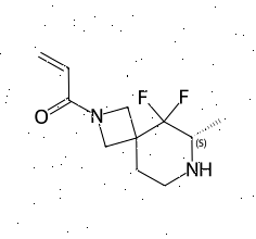 C=CC(=O)N1CC2(CCN[C@@H](C)C2(F)F)C1